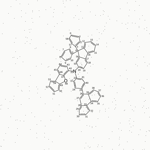 c1ccc(C2(c3ccccc3)c3ccccc3-c3ccc(N(c4ccc(-c5cc6ccccc6c6ccccc56)cc4)c4cccc5c4oc4ccccc45)cc32)cc1